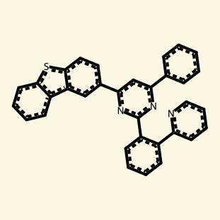 c1ccc(-c2cc(-c3ccc4sc5ccccc5c4c3)nc(-c3ccccc3-c3ccccn3)n2)cc1